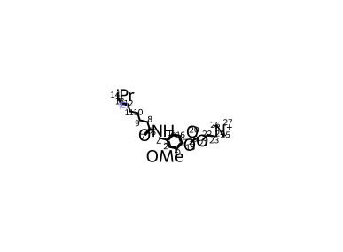 COc1cc(CNC(=O)CCCC/C=C/C(C)C)ccc1OC(=O)OCC[N+](C)(C)C